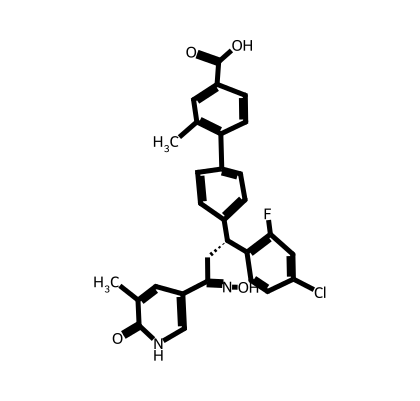 Cc1cc(C(=O)O)ccc1-c1ccc([C@@H](C/C(=N\O)c2c[nH]c(=O)c(C)c2)c2ccc(Cl)cc2F)cc1